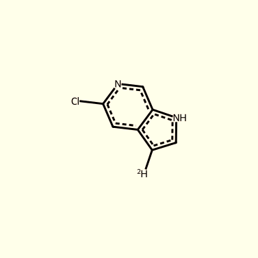 [2H]c1c[nH]c2cnc(Cl)cc12